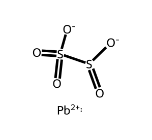 O=S([O-])S(=O)(=O)[O-].[Pb+2]